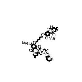 C=C1C[C@H]2[C@H](O)N(C(=O)OC[C@@H](C)SSc3ccccn3)c3cc(OCCCCCOc4cc5c(cc4OC)C(=O)N4CC(C)(C)C[C@H]4C=N5)c(OC)cc3C(=O)N2C1